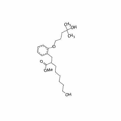 COC(=O)C(CCCCCCO)Cc1ccccc1OCCCC(C)(C)O